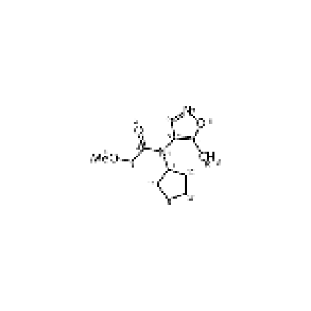 COCC(=O)N(c1cnoc1C)C1CCCC1